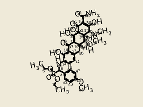 CCOP(=O)(OCC)C(Nc1ccc2c(c1O)C(=O)C1=C(O)[C@]3(O)C(=O)C(C(N)=O)=C(O)[C@H](N(C)C)[C@H]3[C@H](O)[C@@H]1C2)c1ccc(OC)cc1